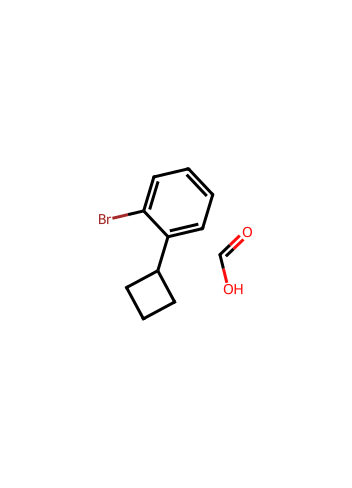 Brc1ccccc1C1CCC1.O=CO